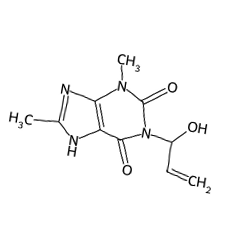 C=CC(O)n1c(=O)c2[nH]c(C)nc2n(C)c1=O